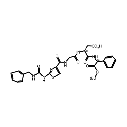 CC(C)(C)OC(=O)[C@@H](NC(=O)[C@H](CC(=O)O)NC(=O)CNC(=O)c1csc(NC(=O)NCc2ccccc2)n1)c1ccccc1